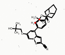 CC(C)(O)COc1cc(-c2ccc(N3CC4CCC(C3)N4C(=O)OC(C)(C)C)nc2)c2cc(C#N)nn2c1